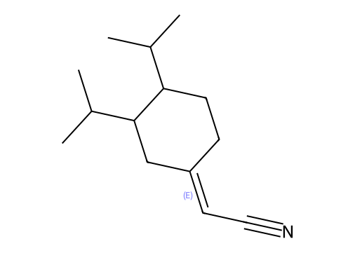 CC(C)C1CC/C(=C\C#N)CC1C(C)C